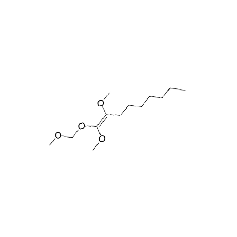 CCCCCCC/C(OC)=C(\OC)OCOC